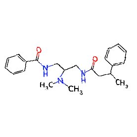 CC(CC(=O)NCC(CNC(=O)c1ccccc1)N(C)C)c1ccccc1